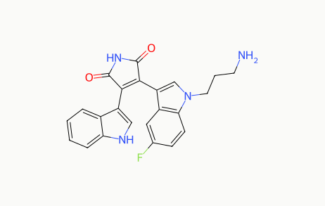 NCCCn1cc(C2=C(c3c[nH]c4ccccc34)C(=O)NC2=O)c2cc(F)ccc21